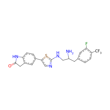 NC(CNc1ncc(-c2ccc3c(c2)CC(=O)N3)s1)Cc1ccc(C(F)(F)F)c(F)c1